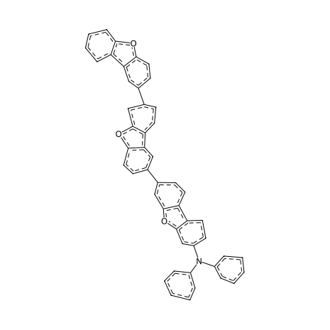 c1ccc(N(c2ccccc2)c2ccc3c(c2)oc2cc(-c4ccc5oc6cc(-c7ccc8oc9ccccc9c8c7)ccc6c5c4)ccc23)cc1